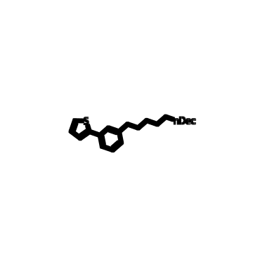 CCCCCCCCCCCCCCCc1cccc(-c2cccs2)c1